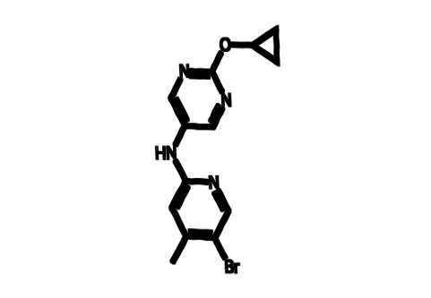 Cc1cc(Nc2cnc(OC3CC3)nc2)ncc1Br